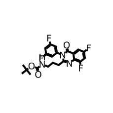 CC(C)(C)OC(=O)NCCCc1nc2c(F)cc(F)cc2c(=O)n1-c1cc(F)cc(F)c1